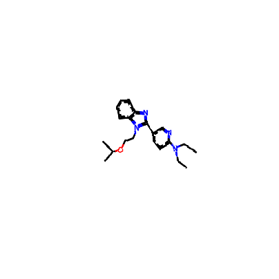 CCN(CC)c1ccc(-c2nc3ccccc3n2CCOC(C)C)cn1